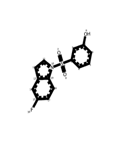 O=S(=O)(c1cccc(O)c1)n1ccc2cc(F)ccc21